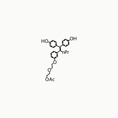 CCCC(=C(c1ccc(O)cc1)c1ccc(O)cc1)c1cccc(OCCOCCOC(C)=O)c1